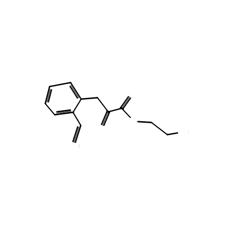 C=Cc1ccccc1CC(=C)C(=O)OCCO